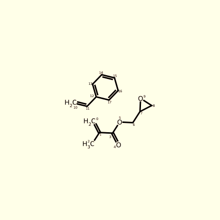 C=C(C)C(=O)OCC1CO1.C=Cc1ccccc1